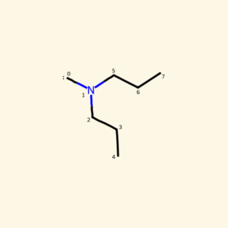 [CH]N(CCC)CCC